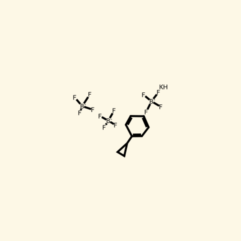 F[B-](F)(F)F.F[B-](F)(F)F.F[B-](F)(F)F.[KH].c1ccc(C2CC2)cc1